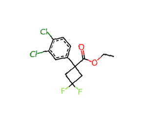 CCOC(=O)C1(c2ccc(Cl)c(Cl)c2)CC(F)(F)C1